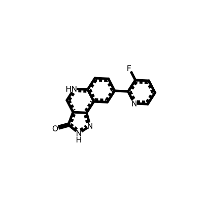 O=c1[nH]nc2c3cc(-c4ncccc4F)ccc3[nH]cc1-2